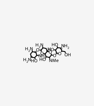 CNC1C(O[C@H]2OC(CO)[C@@H](N)C(O)C2O)O[C@H]2CC(N)[C@@H](O[C@@H]3C(N)C[C@@H](N)C(O)C3N)OC2C1O